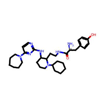 N[C@@H](Cc1ccc(O)cc1)C(=O)NCCC1C(Nc2nccc(N3CCCCCC3)n2)CCCN1C1CCCCC1